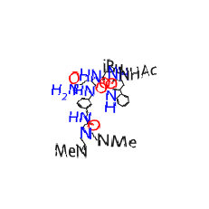 CCC(C)[C@H](NC(=O)[C@H](Cc1c[nH]c2ccccc12)NC(C)=O)C(=O)N[C@@H](CCC(N)=O)C(=O)NCc1cccc(CNC(=O)CN(CCNC)CCNC)c1